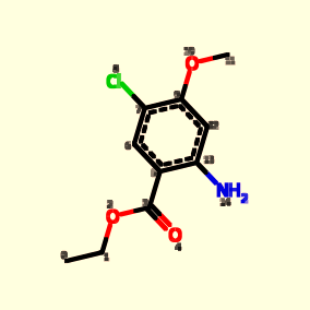 CCOC(=O)c1cc(Cl)c(OC)cc1N